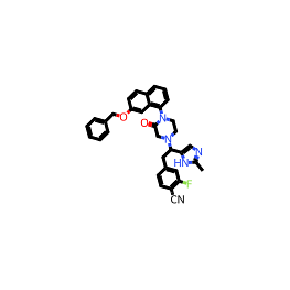 Cc1ncc(C(Cc2ccc(C#N)c(F)c2)N2CCN(c3cccc4ccc(OCc5ccccc5)cc34)C(=O)C2)[nH]1